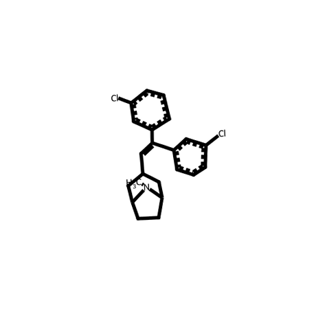 CN1C2CCC1CC(C=C(c1cccc(Cl)c1)c1cccc(Cl)c1)C2